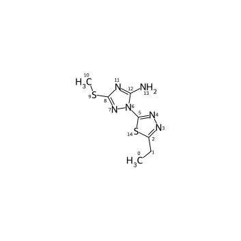 CCc1nnc(-n2nc(SC)nc2N)s1